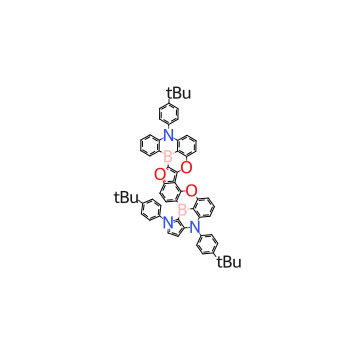 CC(C)(C)c1ccc(N2c3ccccc3B3c4oc5ccc6c(c5c4Oc4cccc2c43)Oc2cccc3c2B6c2c(ccn2-c2ccc(C(C)(C)C)cc2)N3c2ccc(C(C)(C)C)cc2)cc1